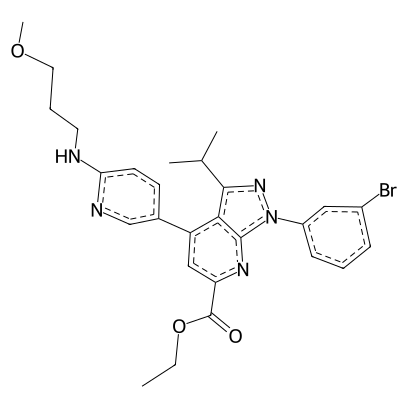 CCOC(=O)c1cc(-c2ccc(NCCCOC)nc2)c2c(C(C)C)nn(-c3cccc(Br)c3)c2n1